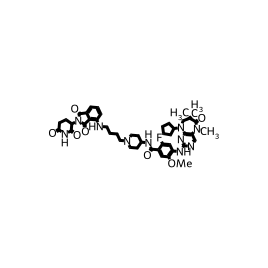 COc1cc(C(=O)NC2CCN(CCCCNc3cccc4c3C(=O)N(C3CCC(=O)NC3=O)C4=O)CC2)c(F)cc1Nc1ncc2c(n1)N(C1CCCC1)CC(C)(C)C(=O)N2C